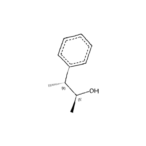 C[C@H](O)[C@H](C)c1ccccc1